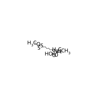 CCOC(=S)SCCCCCC=C(NC(=O)C1CC1(C)C)C(=O)O